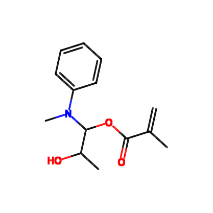 C=C(C)C(=O)OC(C(C)O)N(C)c1ccccc1